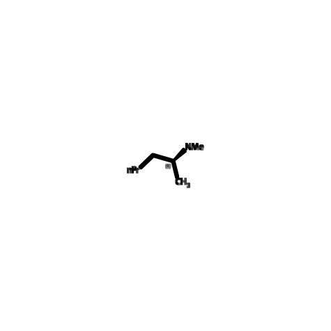 CCCC[C@H](C)NC